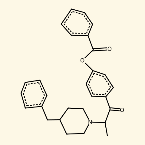 CC(C(=O)c1ccc(OC(=O)c2ccccc2)cc1)N1CCC(Cc2ccccc2)CC1